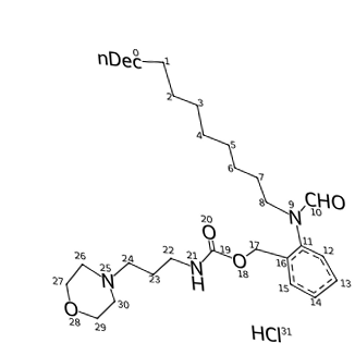 CCCCCCCCCCCCCCCCCCN(C=O)c1ccccc1COC(=O)NCCCN1CCOCC1.Cl